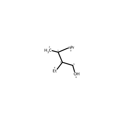 CCCC(C)C(CC)CO